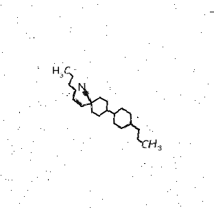 CCCC/C=C\C1(C#N)CCC(C2CCC(CCC)CC2)CC1